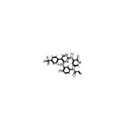 C=CC(=O)Nc1ccc(F)c(Nc2nc(Nc3cccnc3F)ncc2-c2ccc(C(F)(F)F)cc2)c1